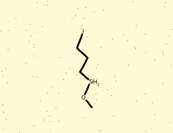 CO[SiH2]CCCI